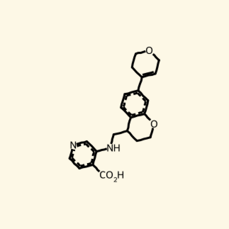 O=C(O)c1ccncc1NCC1CCOc2cc(C3=CCOCC3)ccc21